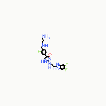 NCCCNCc1ccc(-c2c[nH]c(NCCc3nc4cc(F)c(F)cc4[nH]3)nc2=O)cc1F